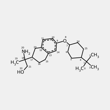 CC(C)(C)C1CCC(Oc2ccc3c(c2)CCC(C(C)(N)CO)C3)CC1